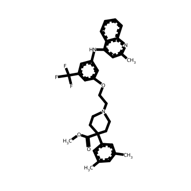 COC(=O)C1(c2cc(C)cc(C)c2)CCN(CCOc2cc(Nc3cc(C)nc4ccccc34)cc(C(F)(F)F)c2)CC1